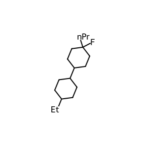 CCCC1(F)CCC(C2CCC(CC)CC2)CC1